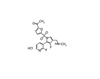 CNCc1cn(S(=O)(=O)c2ccc(C(C)=O)o2)c(-c2cccnc2F)c1F.Cl